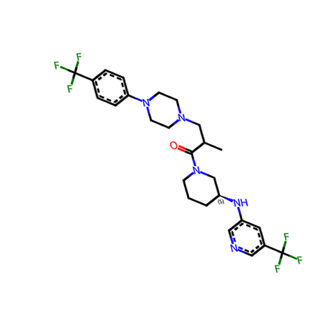 CC(CN1CCN(c2ccc(C(F)(F)F)cc2)CC1)C(=O)N1CCC[C@H](Nc2cncc(C(F)(F)F)c2)C1